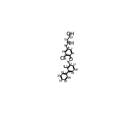 Cc1c(COc2ccc(CNCCO)cc2Cl)cccc1-c1ccccc1